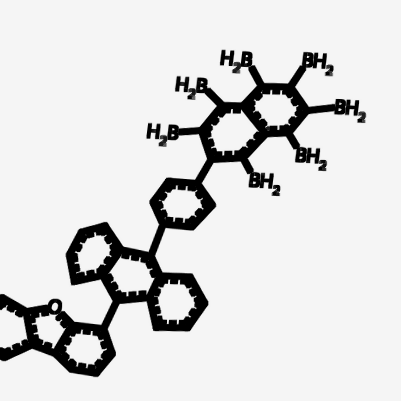 Bc1c(B)c(B)c2c(B)c(-c3ccc(-c4c5ccccc5c(-c5cccc6c5oc5ccccc56)c5ccccc45)cc3)c(B)c(B)c2c1B